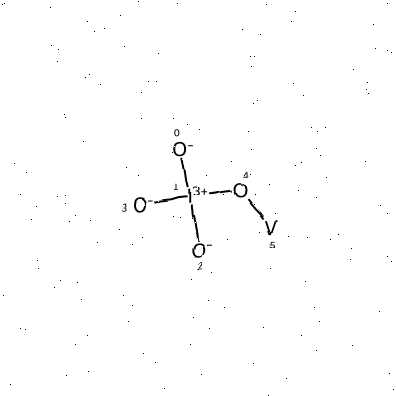 [O-][I+3]([O-])([O-])[O][V]